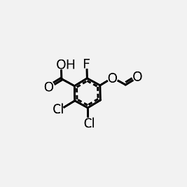 O=COc1cc(Cl)c(Cl)c(C(=O)O)c1F